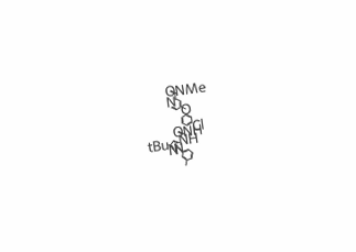 CNC(=O)c1cc(Oc2ccc(NC(=O)Nc3cc(C(C)(C)C)nn3-c3cccc(C)c3)c(Cl)c2)ccn1